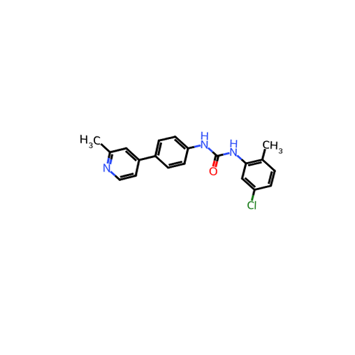 Cc1cc(-c2ccc(NC(=O)Nc3cc(Cl)ccc3C)cc2)ccn1